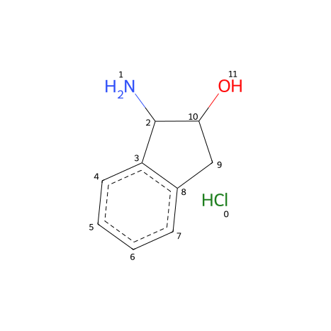 Cl.NC1c2ccccc2CC1O